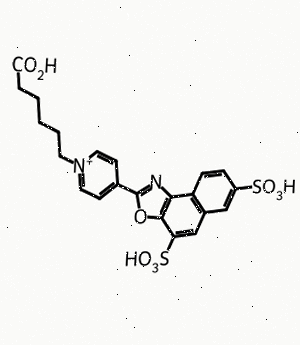 O=C(O)CCCCC[n+]1ccc(-c2nc3c(o2)c(S(=O)(=O)O)cc2cc(S(=O)(=O)O)ccc23)cc1